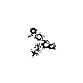 COc1ccccc1N1CCN(C(=O)C(Cc2ccncc2)NC(=O)OC(C)(C)C)CC1